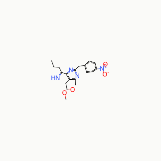 CCCC(=N)c1nc(Cc2ccc([N+](=O)[O-])cc2)nc(C)c1CC(=O)OC